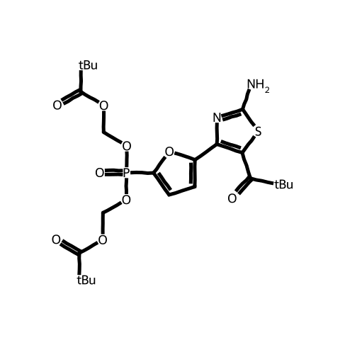 CC(C)(C)C(=O)OCOP(=O)(OCOC(=O)C(C)(C)C)c1ccc(-c2nc(N)sc2C(=O)C(C)(C)C)o1